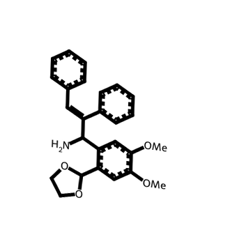 COc1cc(C2OCCO2)c(C(N)C(=Cc2ccccc2)c2ccccc2)cc1OC